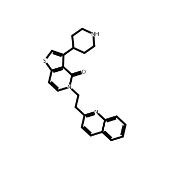 O=c1c2c(C3CCNCC3)csc2ccn1CCc1ccc2ccccc2n1